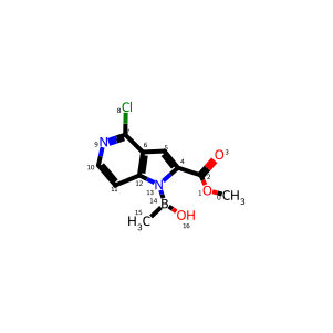 COC(=O)c1cc2c(Cl)nccc2n1B(C)O